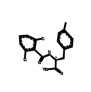 Cc1ccc(C[C@H](NC(=O)c2c(Cl)cccc2Cl)C(=O)O)cc1